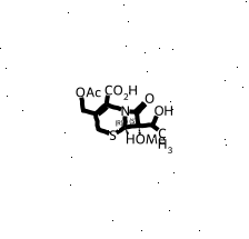 CO[C@@]1(C(C)O)C(=O)N2C(C(=O)O)=C(COC(C)=O)CS[C@@H]21